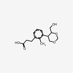 Cc1c(CCC(=O)O)cccc1C1COCOC1CO